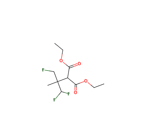 CCOC(=O)C(C(=O)OCC)C(C)(CF)C(F)F